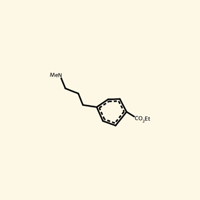 CCOC(=O)c1ccc(CCCNC)cc1